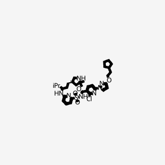 CC(C)C(CC[C@H]1CNC(C)(C)C1)Nc1cccc(S(=O)(=O)NC(=O)c2ccc(-n3ccc(OCCC4CCCC4)n3)nc2Cl)n1